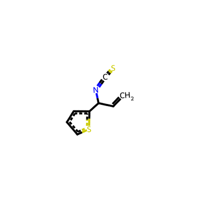 C=CC(N=C=S)c1cccs1